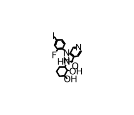 O=C(NC1CCCC(O)C1O)c1ccncc1Nc1ccc(I)cc1F